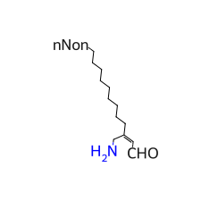 CCCCCCCCCCCCCCCCCCC(=CC=O)CN